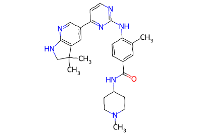 Cc1cc(C(=O)NC2CCN(C)CC2)ccc1Nc1nccc(-c2cnc3c(c2)C(C)(C)CN3)n1